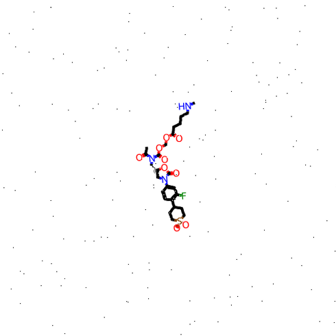 CNCCCCC(=O)OCOC(=O)N(C[C@H]1CN(c2ccc(C3CCS(=O)(=O)CC3)c(F)c2)C(=O)O1)C(C)=O